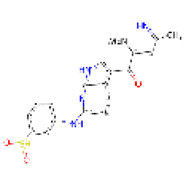 CN/C(=C\C(C)=N)C(=O)c1c[nH]c2nc(Nc3cccc([SH](=O)=O)c3)ccc12